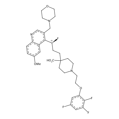 COc1ccc2ncc(CN3CCOCC3)c([C@@H](F)CCC3(C(=O)O)CCN(CCOc4cc(F)cc(F)c4F)CC3)c2c1